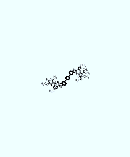 COC(=O)N(C)[C@H](C(=O)N1C[C@@H](C)C[C@H]1c1nc2ccc(-c3ccc(-c4ccc5nc([C@@H]6C[C@H](C)CN6C(=O)[C@H](C(C)C)N(C)C(=O)OC)n(C)c5c4)cc3)cc2n1C)C(C)C